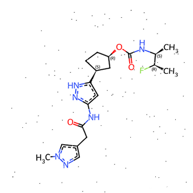 C[C@H](NC(=O)O[C@@H]1CC[C@H](c2cc(NC(=O)Cc3cnn(C)c3)n[nH]2)C1)[C@@H](C)F